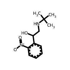 CC(C)(C)NCC(O)c1ccccc1[N+](=O)[O-]